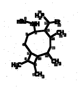 CCCCNC1CCC2C(C)C(C)C2C(C)CC(C)C1C(P)CC